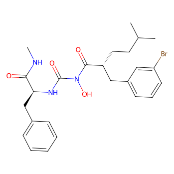 CNC(=O)[C@H](Cc1ccccc1)NC(=O)N(O)C(=O)[C@H](CCC(C)C)Cc1cccc(Br)c1